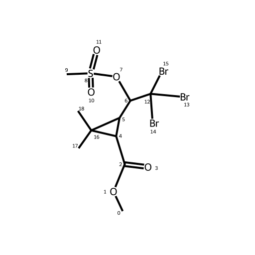 COC(=O)C1C(C(OS(C)(=O)=O)C(Br)(Br)Br)C1(C)C